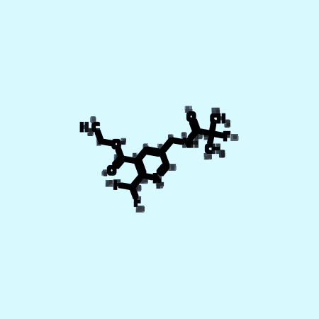 CCOC(=O)c1cc(CNC(=O)C(C)(C)F)cnc1C(F)F